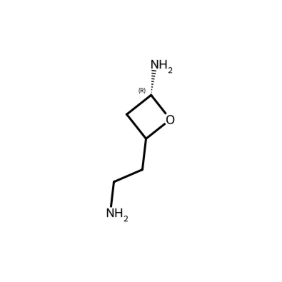 NCCC1C[C@H](N)O1